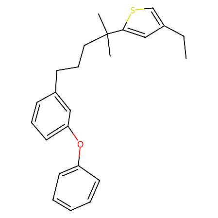 CCc1csc(C(C)(C)CCCc2cccc(Oc3ccccc3)c2)c1